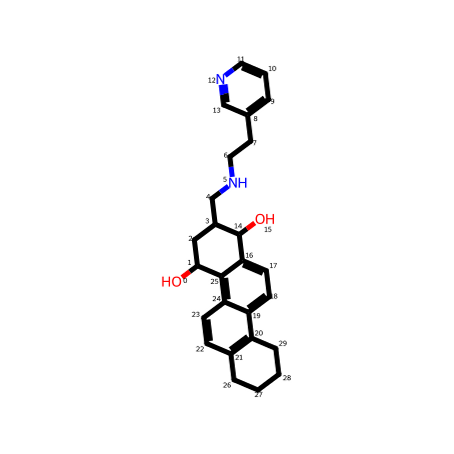 OC1CC(CNCCc2cccnc2)C(O)c2ccc3c4c(ccc3c21)CCCC4